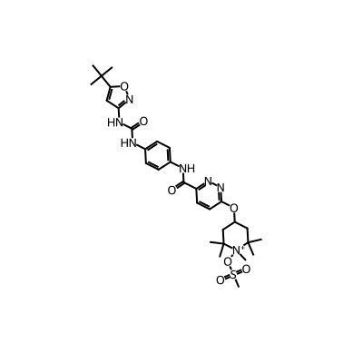 CC(C)(C)c1cc(NC(=O)Nc2ccc(NC(=O)c3ccc(OC4CC(C)(C)[N+](C)(OS(C)(=O)=O)C(C)(C)C4)nn3)cc2)no1